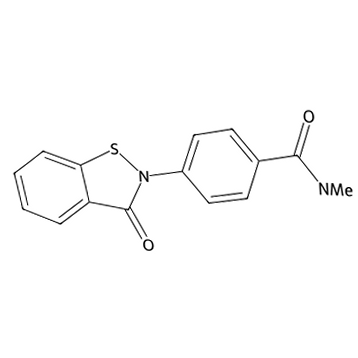 CNC(=O)c1ccc(-n2sc3ccccc3c2=O)cc1